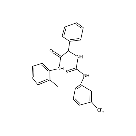 Cc1ccccc1NC(=O)C(NC(=S)Nc1cccc(C(F)(F)F)c1)c1ccccc1